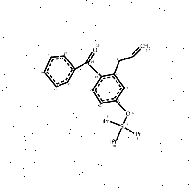 C=CCc1cc(O[Si](C(C)C)(C(C)C)C(C)C)ccc1C(=O)c1ccccc1